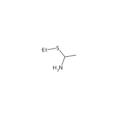 C[CH]SC(C)N